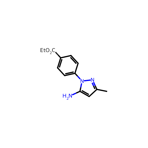 CCOC(=O)c1ccc(-n2nc(C)cc2N)cc1